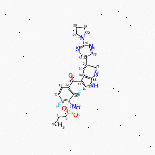 CCCS(=O)(=O)Nc1c(F)ccc(C(=O)c2c[nH]c3ncc(-c4cnc(N5CCCC5)nc4)cc23)c1F